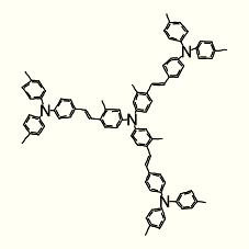 Cc1ccc(N(c2ccc(C)cc2)c2ccc(C=Cc3ccc(N(c4ccc(C=Cc5ccc(N(c6ccc(C)cc6)c6ccc(C)cc6)cc5)c(C)c4)c4ccc(C=Cc5ccc(N(c6ccc(C)cc6)c6ccc(C)cc6)cc5)c(C)c4)cc3C)cc2)cc1